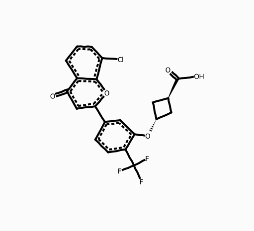 O=c1cc(-c2ccc(C(F)(F)F)c(O[C@H]3C[C@H](C(=O)O)C3)c2)oc2c(Cl)cccc12